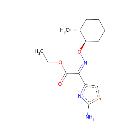 CCOC(=O)C(=NO[C@@H]1CCCC[C@H]1C)c1csc(N)n1